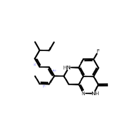 C=C1NN=C2CC(C(/C=C\C)=C/C=C\C(C)CC)Nc3cc(F)cc1c32